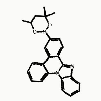 CC1CC(C)(C)OB(c2ccc3c(c2)c2ccccc2n2c4ccccc4nc32)O1